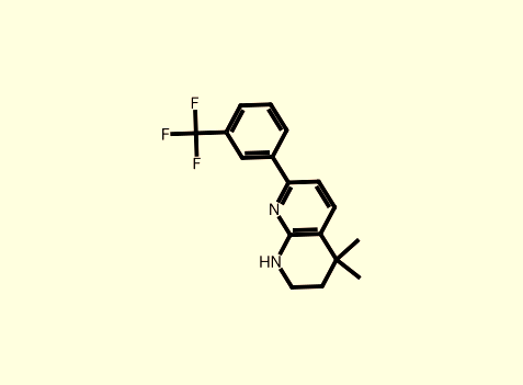 CC1(C)CCNc2nc(-c3cccc(C(F)(F)F)c3)ccc21